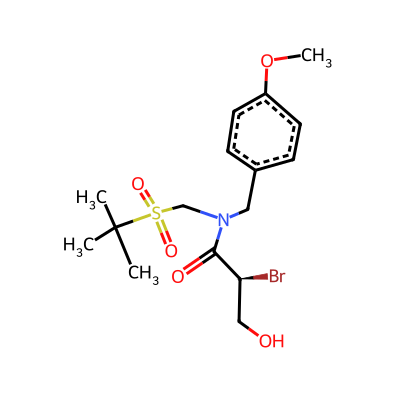 COc1ccc(CN(CS(=O)(=O)C(C)(C)C)C(=O)[C@@H](Br)CO)cc1